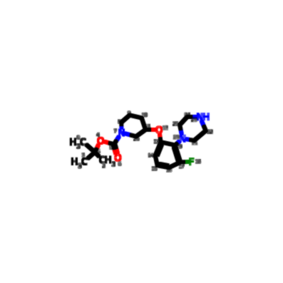 CC(C)(C)OC(=O)N1CCCC(Oc2cccc(F)c2N2CCNCC2)C1